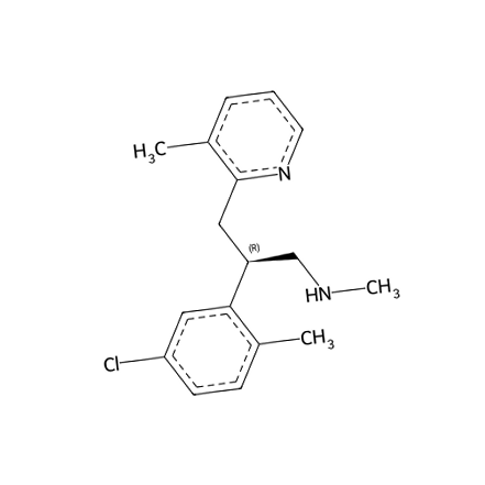 CNC[C@H](Cc1ncccc1C)c1cc(Cl)ccc1C